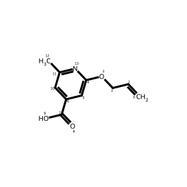 C=CCOc1cc(C(=O)O)cc(C)n1